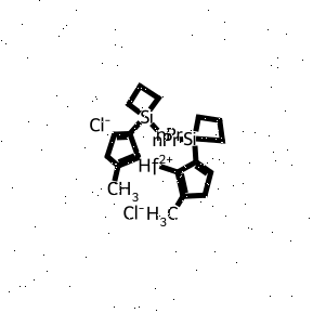 CCC[Si]1(C2=CCC(C)=[C]2[Hf+2][C]2=C(C)CC=C2[Si]2(CCC)CCC2)CCC1.[Cl-].[Cl-]